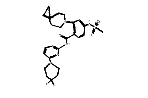 CS(=O)(=O)Nc1ccc(C(=O)Nc2nccc(N3CCC(F)(F)CC3)n2)c(N2CCC3(CC2)CC3)c1